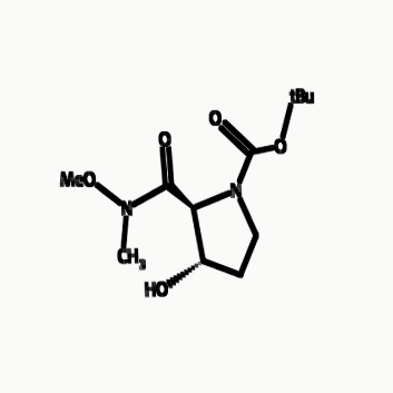 CON(C)C(=O)[C@@H]1[C@@H](O)CCN1C(=O)OC(C)(C)C